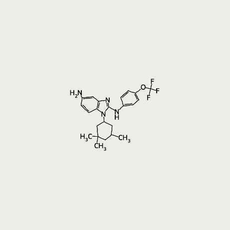 CC1CC(n2c(Nc3ccc(OC(F)(F)F)cc3)nc3cc(N)ccc32)CC(C)(C)C1